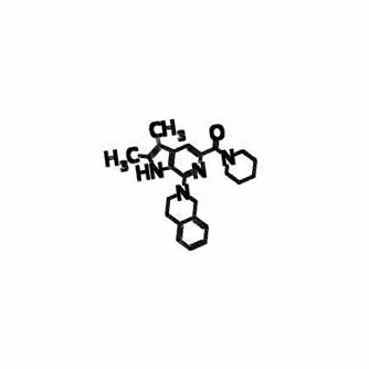 Cc1[nH]c2c(N3CCc4ccccc4C3)nc(C(=O)N3CCCCC3)cc2c1C